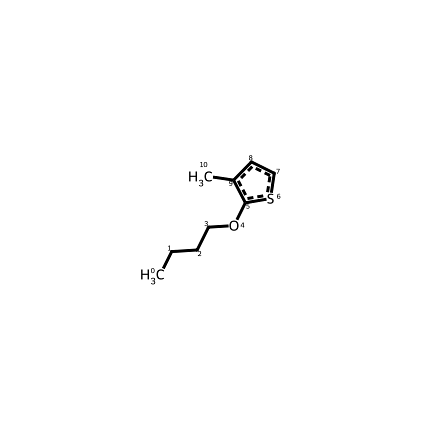 CCCCOc1sccc1C